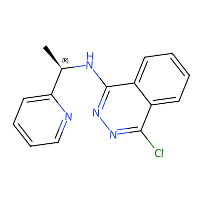 C[C@@H](Nc1nnc(Cl)c2ccccc12)c1ccccn1